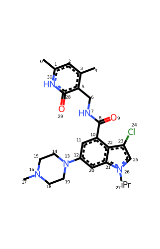 Cc1cc(C)c(CNC(=O)c2cc(N3CCN(C)CC3)cc3c2c(Cl)cn3C(C)C)c(=O)[nH]1